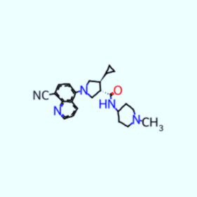 CN1CCC(NC(=O)[C@@H]2CN(c3ccc(C#N)c4ncccc34)C[C@H]2C2CC2)CC1